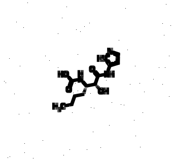 CCCC[C@H](NC(=O)O)[C@@H](O)C(=O)Nc1ccn[nH]1